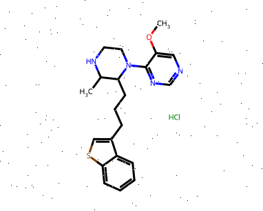 COc1cncnc1N1CCNC(C)C1CCCc1csc2ccccc12.Cl